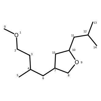 COCCC(C)CC1COC(CC(C)C)C1